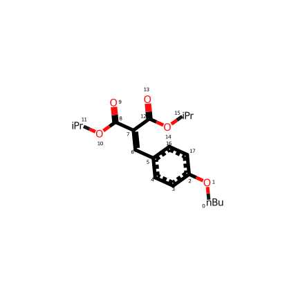 CCCCOc1ccc(C=C(C(=O)OC(C)C)C(=O)OC(C)C)cc1